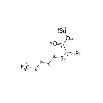 CC(C)C(SCCCCC(F)(F)F)C(=O)OC(C)(C)C